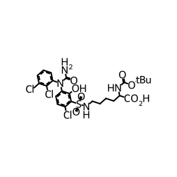 CC(C)(C)OC(=O)NC(CCCCNS(=O)(=O)c1c(Cl)ccc(N(C(N)=O)c2cccc(Cl)c2Cl)c1O)C(=O)O